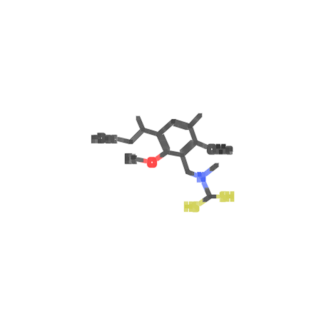 CCCCCCCCCCCC(C)c1cc(C)c(OC)c(CN(C)C(S)S)c1OCC